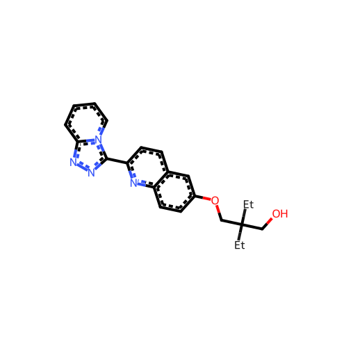 CCC(CC)(CO)COc1ccc2nc(-c3nnc4ccccn34)ccc2c1